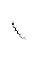 [CH2]CCCCCCCC#N